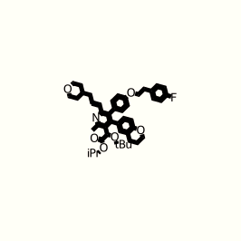 Cc1nc(/C=C/CC2CCOCC2)c(-c2ccc(OCCc3ccc(F)cc3)cc2)c(-c2ccc3c(c2)CCCO3)c1C(OC(C)(C)C)C(=O)OC(C)C